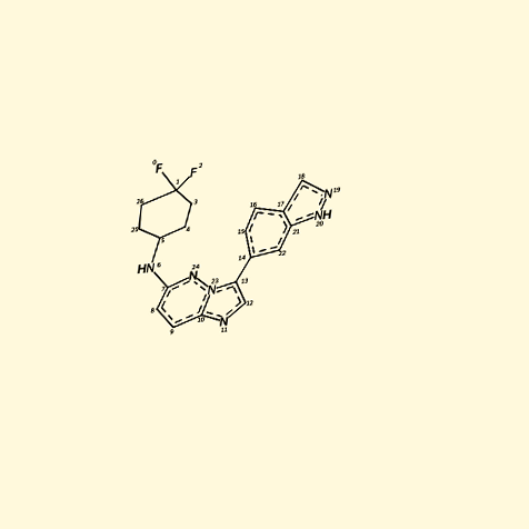 FC1(F)CCC(Nc2ccc3ncc(-c4ccc5cn[nH]c5c4)n3n2)CC1